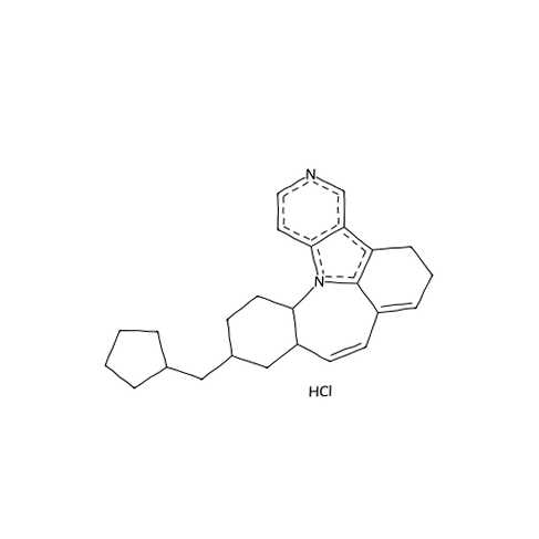 C1=CC2CC(CC3CCCC3)CCC2n2c3c(c4cnccc42)CCC=C13.Cl